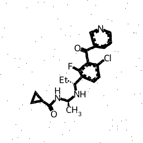 CC[C@@H](N[C@@H](C)NC(=O)C1CC1)c1ccc(Cl)c(C(=O)c2cccnc2)c1F